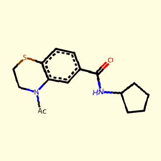 CC(=O)N1CCSc2ccc(C(=O)NC3CCCC3)cc21